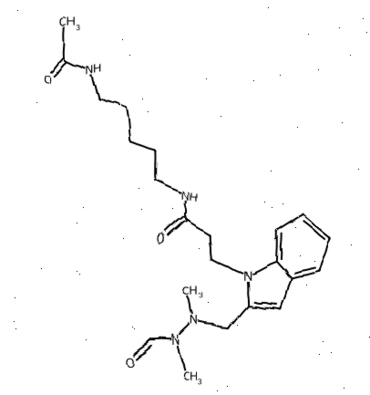 CC(=O)NCCCCCNC(=O)CCn1c(CN(C)N(C)C=O)cc2ccccc21